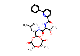 CC(C)C[C@H](NC(=O)[C@@H](NC(=O)c1cccc(-c2ccccc2)n1)[C@@H](C)O)B1OC(=O)[C@H](C)O[C@H](C)C(=O)O1